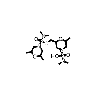 CC1CN(P(=O)(OCC2CN(P(=O)(O)N(C)C)CC(C)O2)N(C)C)CC(C)O1